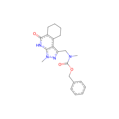 CN(Cc1nn(C)c2[nH]c(=O)c3c(c12)CCCC3)C(=O)OCc1ccccc1